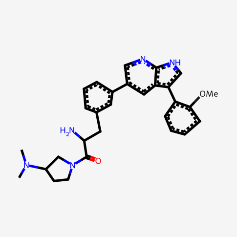 COc1ccccc1-c1c[nH]c2ncc(-c3cccc(CC(N)C(=O)N4CCC(N(C)C)C4)c3)cc12